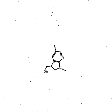 Cc1cnc2c(c1)C(CO)CN2C